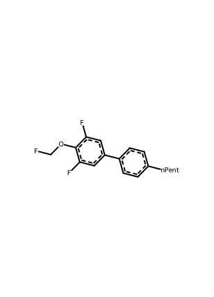 CCCCCc1ccc(-c2cc(F)c(OCF)c(F)c2)cc1